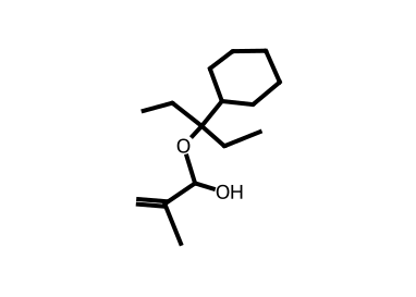 C=C(C)C(O)OC(CC)(CC)C1CCCCC1